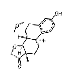 COC.C[C@]12CC[C@@H]3c4ccc(O)cc4CC[C@H]3[C@@H]1OCC2=O